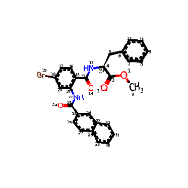 COC(=O)[C@H](Cc1ccccc1)NC(=O)c1ccc(Br)cc1NC(=O)c1ccc2ccccc2c1